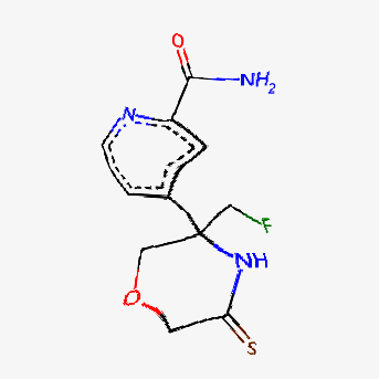 NC(=O)c1cc(C2(CF)COCC(=S)N2)ccn1